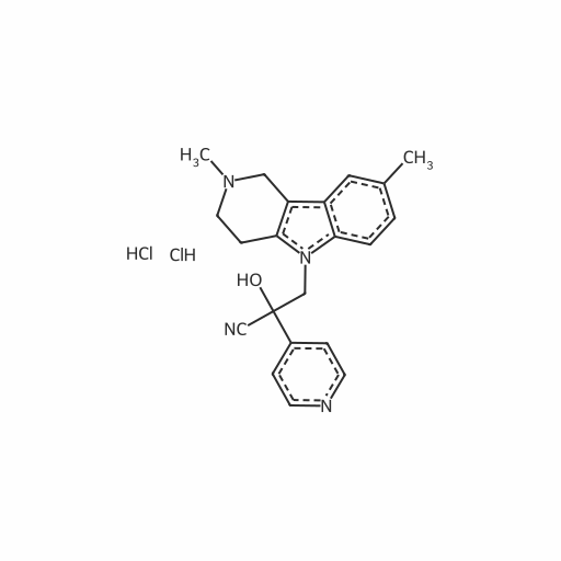 Cc1ccc2c(c1)c1c(n2CC(O)(C#N)c2ccncc2)CCN(C)C1.Cl.Cl